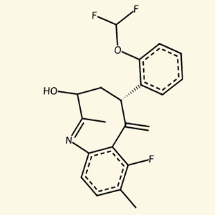 C=C1c2c(ccc(C)c2F)/N=C(\C)C(O)C[C@@H]1c1ccccc1OC(F)F